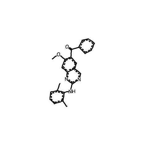 COc1cc2nc(Nc3c(C)cccc3C)ncc2cc1C(=O)c1ccccc1